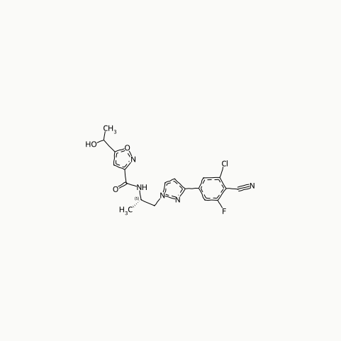 CC(O)c1cc(C(=O)N[C@@H](C)Cn2ccc(-c3cc(F)c(C#N)c(Cl)c3)n2)no1